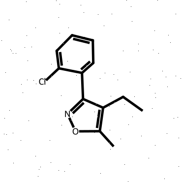 CCc1c(-c2ccccc2Cl)noc1C